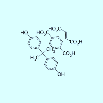 CC(C)(c1ccc(O)cc1)c1ccc(O)cc1.O=C(O)C=CC(=O)O.O=C(O)c1ccc(C(=O)O)cc1